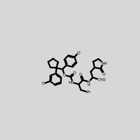 CC(C)CC(NC(=O)OC(c1ccc(Cl)cc1)C1(c2cccc(Cl)c2)CCCC1)C(=O)NC(C=O)CC1CCNC1=O